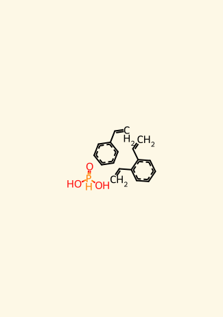 C=Cc1ccccc1.C=Cc1ccccc1C=C.O=[PH](O)O